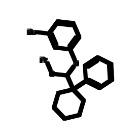 CCC(C)c1cccc(OC(OC(C)C)C2(c3ccccc3)CCCCC2)c1